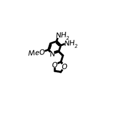 COc1cc(N)c(N)c(CC2OCCO2)n1